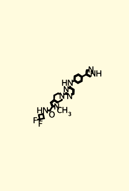 Cn1c(C(=O)NC2CC(F)(F)C2)cc2c1CN(c1nccc(Nc3ccc(-c4cn[nH]c4)cc3)n1)CC2